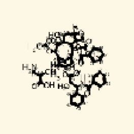 CC(=O)O[C@H]1C(=O)[C@@]2(C)[C@H]([C@H](OC(=O)c3ccccc3)[C@]3(O)C[C@H](OC(=O)[C@H](O)[C@@H](NC(=O)c4ccccc4)c4ccccc4)C(C)=C1C3(C)C)[C@]1(OC(C)=O)CO[C@@H]1C[C@@H]2O.NCC(O)C(=O)O